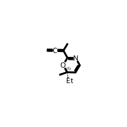 C=C=C(C)C1=NC=C[C@](C)(CC)O1